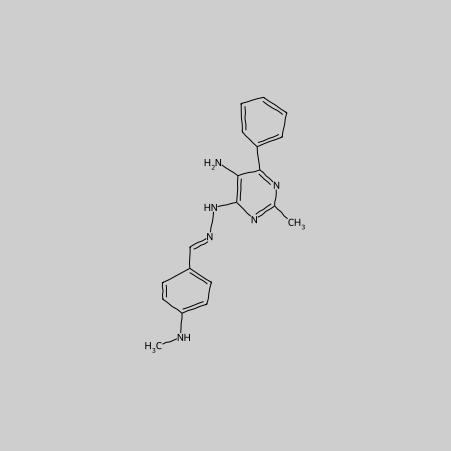 CNc1ccc(/C=N/Nc2nc(C)nc(-c3ccccc3)c2N)cc1